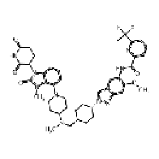 COc1cc2nn([C@H]3CC[C@H](CN(C)C4CCN(c5cccc6c5n(C)c(=O)n6C5CCC(=O)NC5=O)CC4)CC3)cc2cc1NC(=O)c1cccc(C(F)(F)F)n1